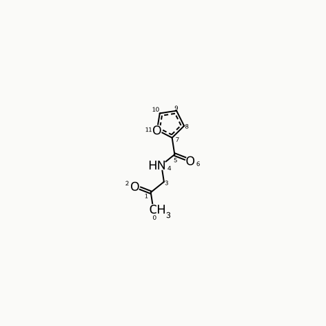 CC(=O)CNC(=O)c1ccco1